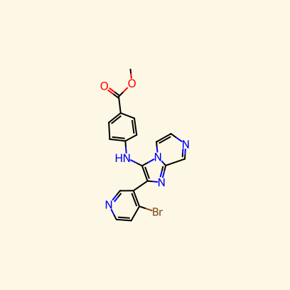 COC(=O)c1ccc(Nc2c(-c3cnccc3Br)nc3cnccn23)cc1